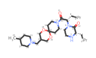 CC(C)C[C@@H]1NCCN([C@@H](CC(C)C)C(=O)N2CCC3(CC2)OCC(CN2CCC(C)CC2)CO3)C1=O